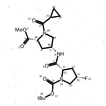 COC(=O)[C@H]1C[C@@H](NC(=O)[C@@H]2C[C@H](F)CN2C(=O)OC(C)(C)C)CN1C(=O)C1CC1